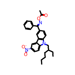 CCCCC(CC)Cn1c2ccc(/C(=N/OC(C)=O)c3ccccc3)cc2c2cc([N+](=O)[O-])ccc21